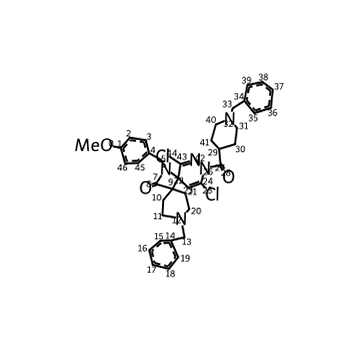 COc1ccc(CN2C(=O)C3(CCN(Cc4ccccc4)CC3)C23C=C(Cl)N(C(=O)C2CCN(Cc4ccccc4)CC2)N=C3Cl)cc1